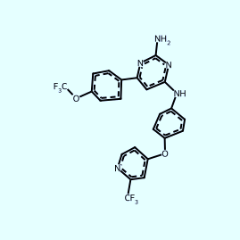 Nc1nc(Nc2ccc(Oc3ccnc(C(F)(F)F)c3)cc2)cc(-c2ccc(OC(F)(F)F)cc2)n1